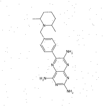 CC1CCCC(C)N1Cc1ccc(-c2nc3c(N)nc(N)nc3nc2N)cc1